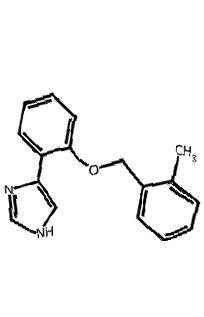 Cc1ccccc1COc1ccccc1-c1c[nH]cn1